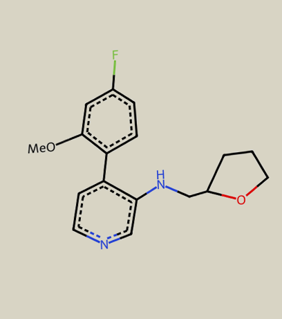 COc1cc(F)ccc1-c1ccncc1NCC1CCCO1